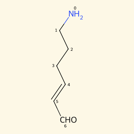 NCCCC=CC=O